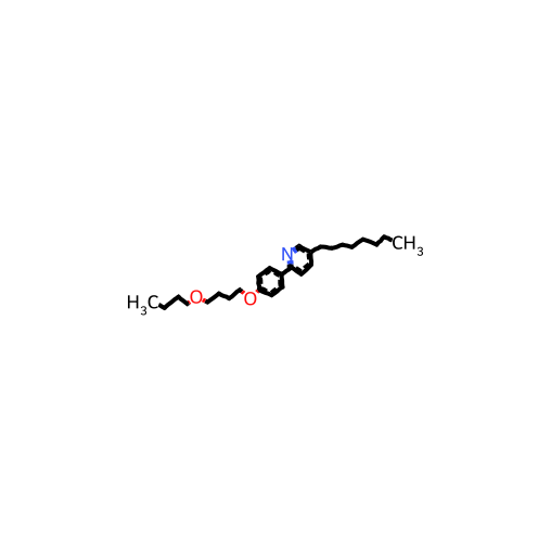 CCCCCCCCc1ccc(-c2ccc(OCCCCOCCCC)cc2)nc1